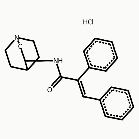 Cl.O=C(NC1CN2CCC1CC2)C(=Cc1ccccc1)c1ccccc1